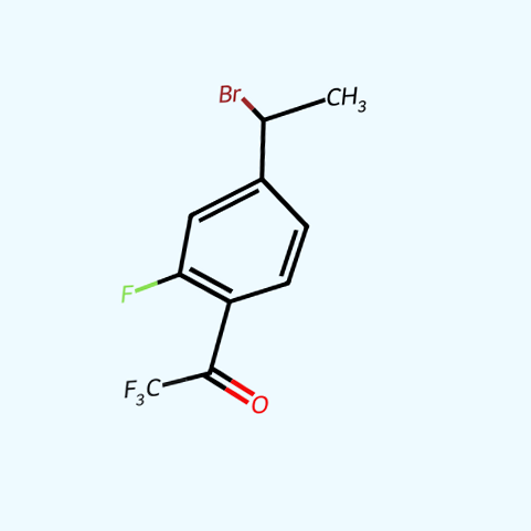 CC(Br)c1ccc(C(=O)C(F)(F)F)c(F)c1